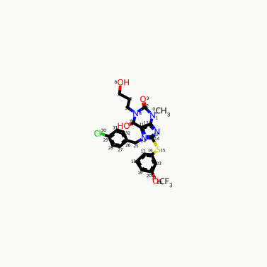 CN1C(=O)N(CCCO)C(O)c2c1nc(Sc1cccc(OC(F)(F)F)c1)n2Cc1ccc(Cl)cc1